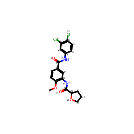 COc1ccc(C(=O)Nc2ccc(Cl)c(Cl)c2)cc1NC(=O)C1CCCO1